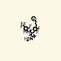 C=CNN(C)C(/C(C)=C(\Cc1ccc(CCCN2CCCCC2)c(F)c1F)C(=C)Nc1ccc(C(F)(F)F)cc1CF)C(C)(C)C